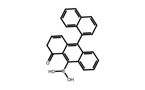 O=C1CC=Cc2c1c(B(O)O)c1ccccc1c2-c1cccc2ccccc12